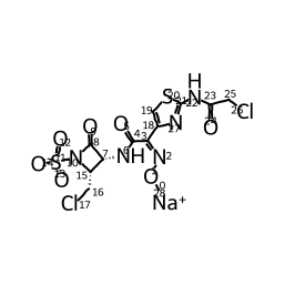 CON=C(C(=O)N[C@H]1C(=O)N(S(=O)(=O)[O-])[C@H]1CCl)c1csc(NC(=O)CCl)n1.[Na+]